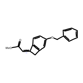 COC(=O)/C=C1/Cc2cc(OCc3ccccc3)ccc21